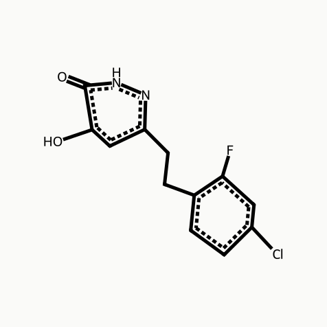 O=c1[nH]nc(CCc2ccc(Cl)cc2F)cc1O